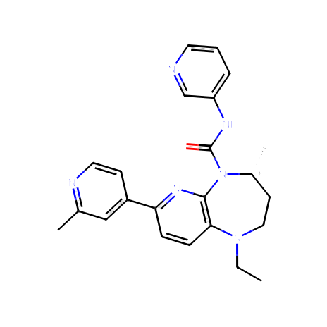 CCN1CC[C@@H](C)N(C(=O)Nc2cccnc2)c2nc(-c3ccnc(C)c3)ccc21